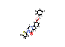 O=c1c2cc3ccc(OCc4ccccc4)cc3n2ccn1-c1cccs1